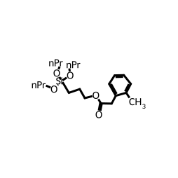 CCCO[Si](CCCOC(=O)Cc1ccccc1C)(OCCC)OCCC